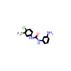 Nc1cccc(NC(=O)Nc2ccc(Cl)c(C(F)(F)F)c2)c1